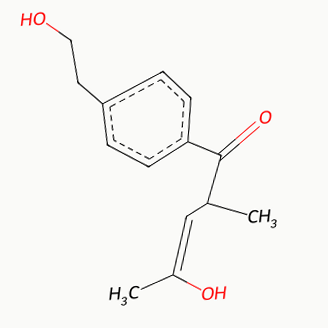 CC(O)=CC(C)C(=O)c1ccc(CCO)cc1